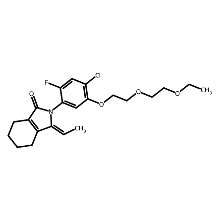 CC=C1C2=C(CCCC2)C(=O)N1c1cc(OCCOCCOCC)c(Cl)cc1F